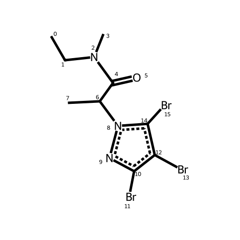 CCN(C)C(=O)C(C)n1nc(Br)c(Br)c1Br